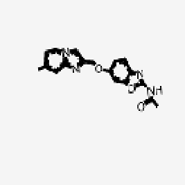 CC(=O)Nc1nc2ccc(OCc3cn4ccc(C)cc4n3)cc2o1